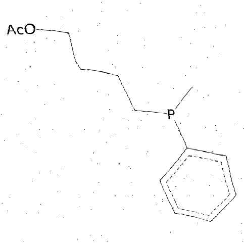 CC(=O)OCCCCP(C)c1ccccc1